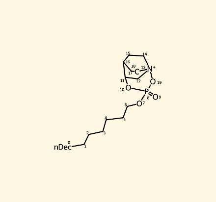 CCCCCCCCCCCCCCCCOP1(=O)OC2C[N+]3(CCC2CC3)O1